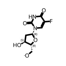 [O]C[C@H]1O[C@@H](n2cc(F)c(=O)[nH]c2=O)C[C@@H]1O